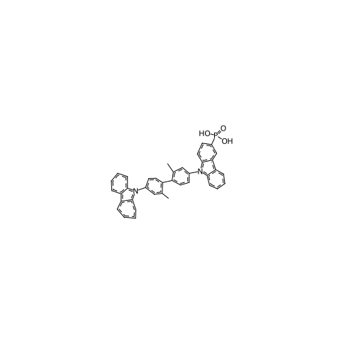 Cc1cc(-n2c3ccccc3c3ccccc32)ccc1-c1ccc(-n2c3ccccc3c3cc(P(=O)(O)O)ccc32)cc1C